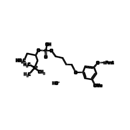 CCCCCOc1cc(OC)cc(OCCCCOP(=O)(O)OC(CC(=O)O)C[N+](C)(C)C)c1.[OH-]